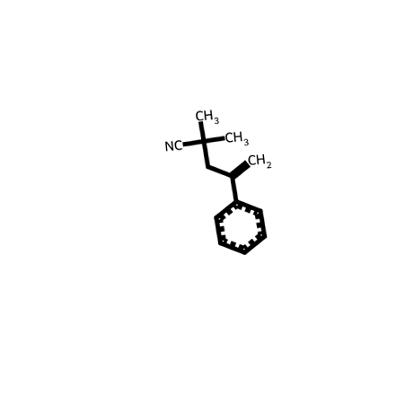 C=C(CC(C)(C)C#N)c1ccccc1